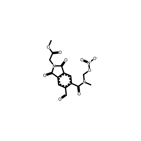 COC(=O)CN1C(=O)c2cc(C=O)c(C(=O)N(C)CO[N+](=O)[O-])cc2C1=O